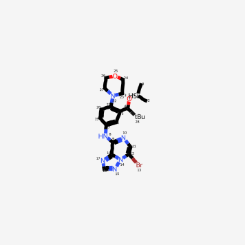 C[SiH](C)OC(c1cc(Nc2ncc(Br)n3ncnc23)ccc1N1CCOCC1)C(C)(C)C